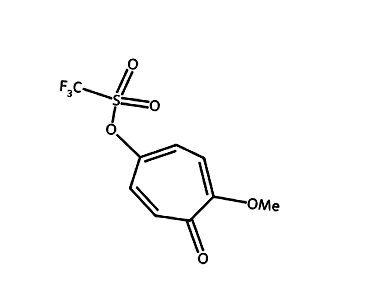 COc1ccc(OS(=O)(=O)C(F)(F)F)ccc1=O